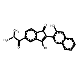 CN(C)C(=O)c1ccc2c(c1)C(O)=C(c1nc3ccccc3cc1O)C2=O